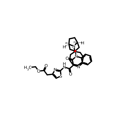 CCOC(=O)Cc1csc(NC(=O)c2nc3ccccc3n([C@H]3C[C@H]4CC[C@@H](C3)N4C3CCCCCCC3)c2=O)n1